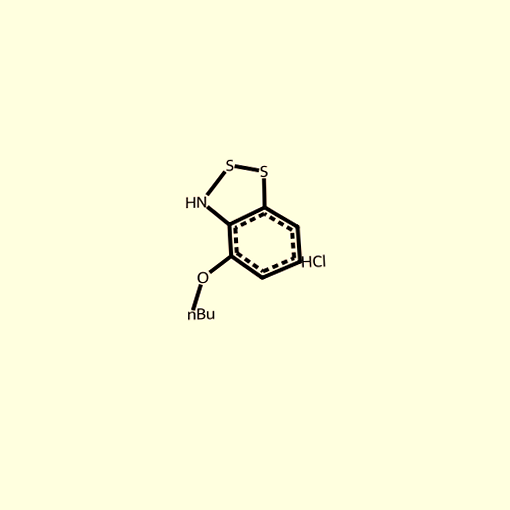 CCCCOc1cccc2c1NSS2.Cl